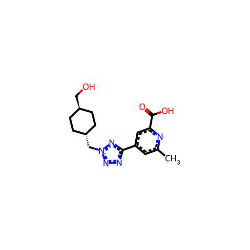 Cc1cc(-c2nnn(C[C@H]3CC[C@H](CO)CC3)n2)cc(C(=O)O)n1